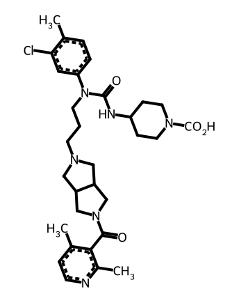 Cc1ccc(N(CCCN2CC3CN(C(=O)c4c(C)ccnc4C)CC3C2)C(=O)NC2CCN(C(=O)O)CC2)cc1Cl